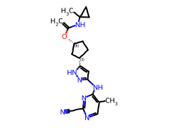 C=C(NC1(C)CC1)O[C@@H]1CC[C@H](c2cc(Nc3nc(C#N)ncc3C)n[nH]2)C1